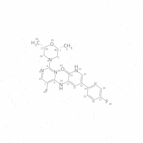 C[C@@H]1CN(c2ncc(F)c(Nc3cc(-c4ccc(F)cc4)c[nH]c3=O)n2)C[C@H](C)O1